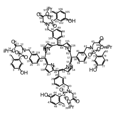 Cc1ccc(O)cc1S(=O)(=O)N(CC(=O)OC(C)C)Cc1cccc(-c2c3nc(c(-c4cccc(CN(CC(=O)OC(C)C)S(=O)(=O)c5cc(O)ccc5C)c4)c4ccc([nH]4)c(-c4cccc(CN(CC(=O)OC(C)C)S(=O)(=O)c5cc(O)ccc5C)c4)c4nc(c(-c5cccc(CN(CC(=O)OC(C)C)S(=O)(=O)c6cc(O)ccc6C)c5)c5ccc2[nH]5)C=C4)C=C3)c1